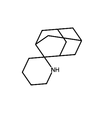 C1CCC2(NC1)C1CC3CC(C1)CC2C3